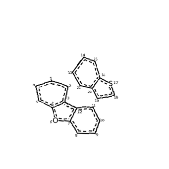 c1ccc2c(c1)oc1ccccc12.c1ccc2sccc2c1